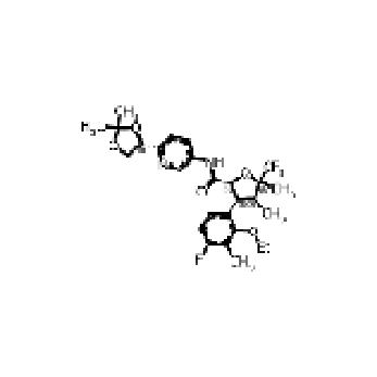 CCOc1c([C@H]2[C@@H](C(=O)Nc3ccc([C@@H]4COC(C)(C)O4)nc3)O[C@@](C)(C(F)(F)F)[C@H]2C)ccc(F)c1C